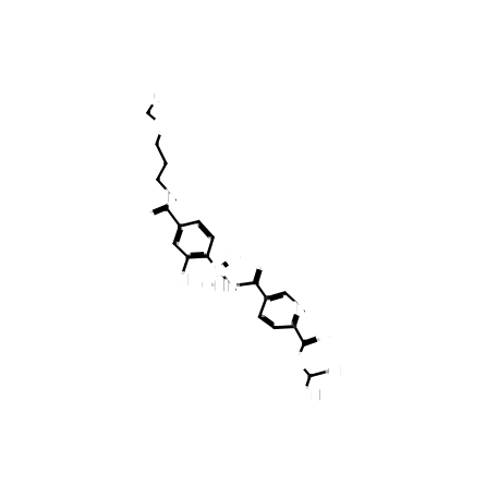 CCOCCCNC(=O)c1ccc(S(=O)(=O)NC(=O)c2ccc(C(=O)OC(C)C)nc2)c(Cl)c1